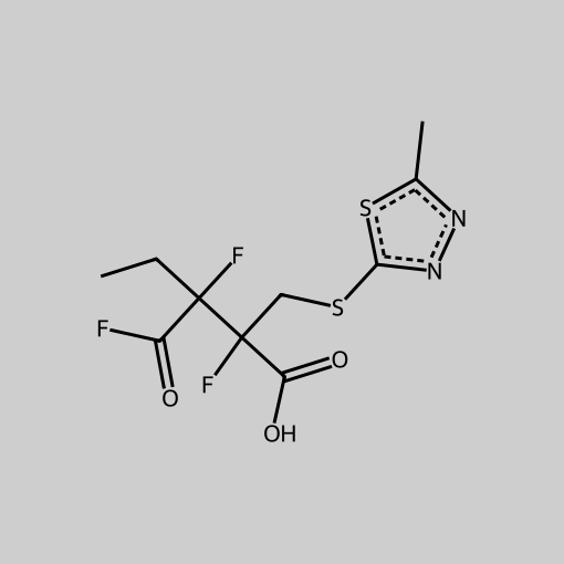 CCC(F)(C(=O)F)C(F)(CSc1nnc(C)s1)C(=O)O